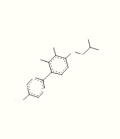 CCCCCCCc1cnc(-c2ccc(OCC(F)CCCCCC)c(F)c2F)nc1